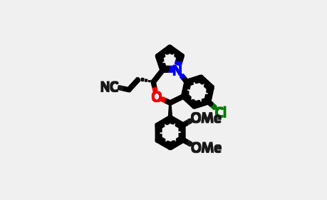 COc1cccc([C@H]2O[C@H](CCC#N)c3cccn3-c3ccc(Cl)cc32)c1OC